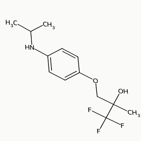 CC(C)Nc1ccc(OCC(C)(O)C(F)(F)F)cc1